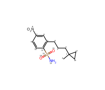 CC1(CCCc2cc([N+](=O)[O-])ccc2S(N)(=O)=O)CC1